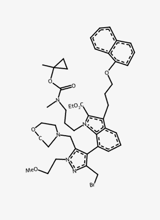 CCOC(=O)c1c(CCCOc2cccc3ccccc23)c2cccc(-c3c(CBr)nn(CCOC)c3CN3CCOCC3)c2n1CCCN(C)C(=O)OC1(C)CC1